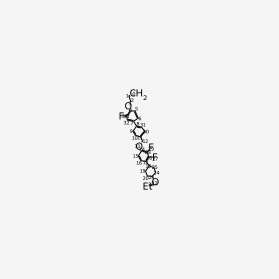 C=CCOc1ccc(-c2ccc(COc3ccc(C4CCC(OCC)CC4)c(F)c3F)cc2)cc1F